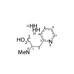 CNC(Cc1ccccn1)C(=O)O.[HH].[HH]